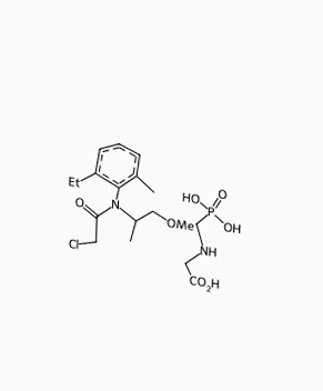 CCc1cccc(C)c1N(C(=O)CCl)C(C)COC.O=C(O)CNCP(=O)(O)O